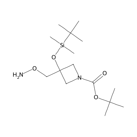 CC(C)(C)OC(=O)N1CC(CON)(O[Si](C)(C)C(C)(C)C)C1